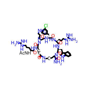 CC(=O)N[C@@H](CCCNC(=N)N)C(=O)N[C@H]1CCC(=O)NCCCC(C(N)=O)NC(=O)[C@H](Cc2c[nH]c3ccccc23)NC(=O)[C@H](CCCNC(=N)N)NC(=O)[C@@H](Cc2cccc(Cl)c2)NC(=O)[C@H](CCCN)NC1=O